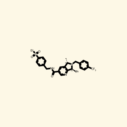 CCS(=O)(=O)c1ccc(CNC(=O)c2cnc3c(c2)[C@H](C)N(Cc2ccc(C(F)(F)F)cc2)[C@H]3C(C)C)cc1